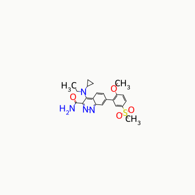 CCN(c1c(C(N)=O)nnc2cc(-c3cc(S(C)(=O)=O)ccc3OC)ccc12)C1CC1